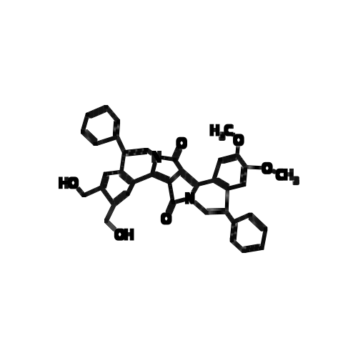 COc1cc2c(cc1OC)C1=C3C(=O)N4C=C(c5ccccc5)c5cc(CO)c(CO)cc5C4=C3C(=O)N1C=C2c1ccccc1